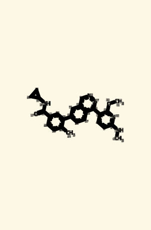 CNc1ccc(-c2nncc3cc(-c4cc(C(=O)NC5CC5)ccc4C)ccc23)c(OC)n1